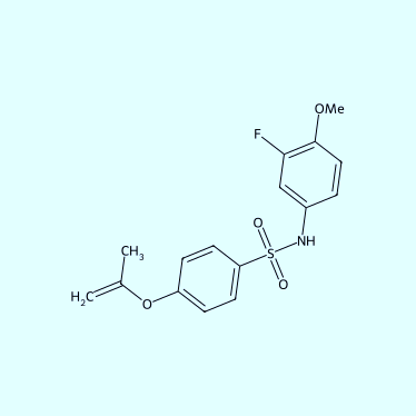 C=C(C)Oc1ccc(S(=O)(=O)Nc2ccc(OC)c(F)c2)cc1